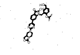 Cn1c(=O)c2ccc(-c3cnc(N4CCN5C(=O)OCC5C4)nc3)cc2n1Cc1cc(CO)ccc1OC(F)F